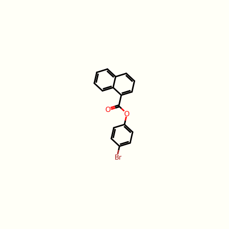 O=C(Oc1ccc(Br)cc1)c1cccc2ccccc12